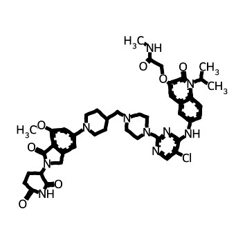 CNC(=O)COc1cc2cc(Nc3nc(N4CCN(CC5CCN(c6cc7c(c(OC)c6)C(=O)N(C6CCC(=O)NC6=O)C7)CC5)CC4)ncc3Cl)ccc2n(C(C)C)c1=O